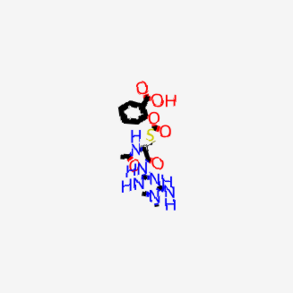 CC(=O)N[C@H](CSC(=O)Oc1ccccc1C(=O)O)C(=O)NC(=N)NC(=N)N(C)C